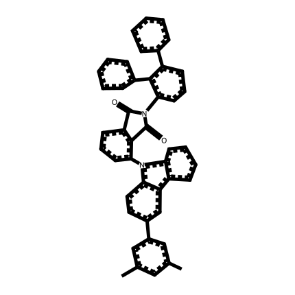 Cc1cc(C)cc(-c2ccc3c(c2)c2ccccc2n3-c2cccc3c2C(=O)N(c2cccc(-c4ccccc4)c2-c2ccccc2)C3=O)c1